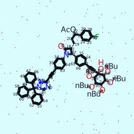 CCCCO[C@@H]1[C@@H](OCCCC)[C@H](OCCCC)C(O)(C#Cc2ccc([C@@H]3[C@@H](CC[C@H](OC(C)=O)c4ccc(F)cc4)C(=O)N3c3ccc(C#Cc4ncn(C(c5ccccc5)(c5ccccc5)c5ccccc5)n4)cc3)cc2)[C@H](OCCCC)[C@H]1OCCCC